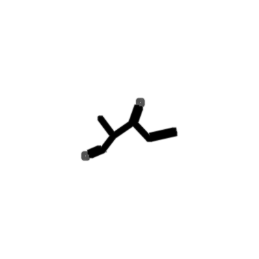 C=CC(=O)C(C)[C]=O